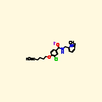 CCCCCCCCCCCCCCOc1ccc(C(=O)NCc2cccc[n+]2C)cc1Cl.[I-]